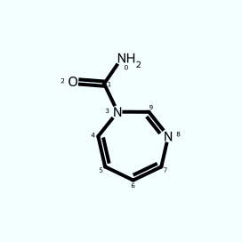 NC(=O)N1C=CC=CN=C1